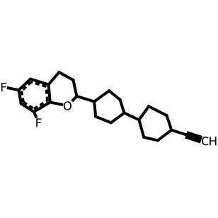 C#CC1CCC(C2CCC(C3CCc4cc(F)cc(F)c4O3)CC2)CC1